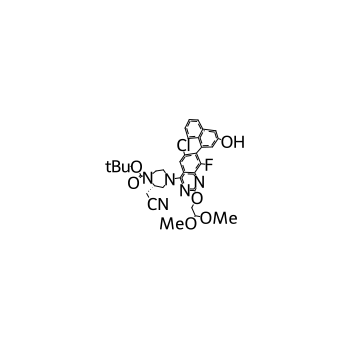 COC(COc1nc(N2CCN(C(=O)OC(C)(C)C)[C@@H](CC#N)C2)c2cc(Cl)c(-c3cc(O)cc4ccccc34)c(F)c2n1)OC